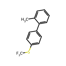 Cc1ccccc1-c1ccc(SC(F)(F)F)cc1